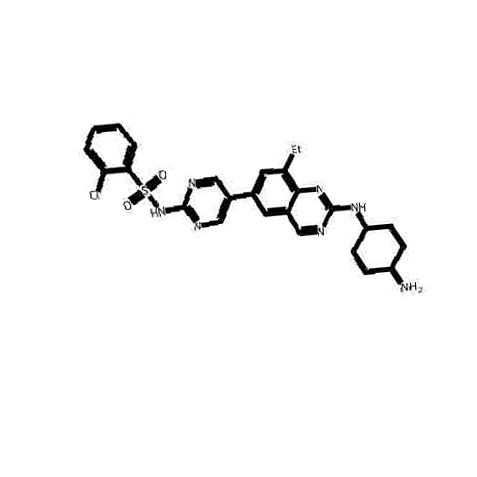 CCc1cc(-c2cnc(NS(=O)(=O)c3ccccc3Cl)nc2)cc2cnc(NC3CCC(N)CC3)nc12